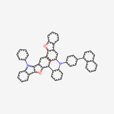 c1ccc(-n2c3ccccc3c3oc4c(-c5ccccc5N(c5ccc(-c6cccc7ccccc67)cc5)c5ccc6oc7ccccc7c6c5)cccc4c32)cc1